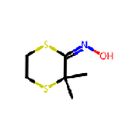 CC1(C)SCCS/C1=N/O